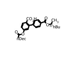 CCCCCCCCCCC(=O)Oc1ccc(C(=O)O)c(-c2ccc(C(=O)O[C@H](C)CCCC)cc2)c1